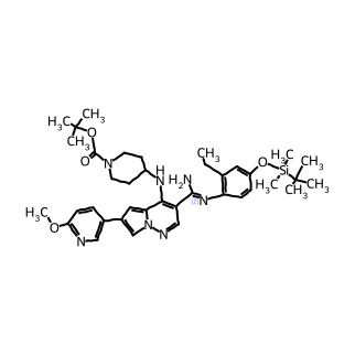 CCc1cc(O[Si](C)(C)C(C)(C)C)ccc1/N=C(\N)c1cnn2cc(-c3ccc(OC)nc3)cc2c1NC1CCN(C(=O)OC(C)(C)C)CC1